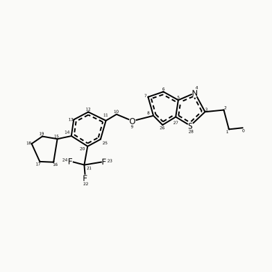 CCCc1nc2ccc(OCc3ccc(C4CCCC4)c(C(F)(F)F)c3)cc2s1